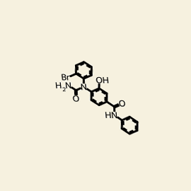 NC(=O)N(c1ccc(C(=O)Nc2ccccc2)cc1O)c1ccccc1Br